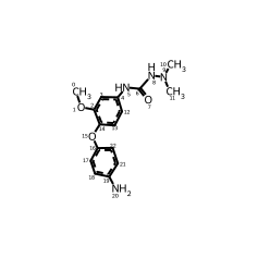 COc1cc(NC(=O)NN(C)C)ccc1Oc1ccc(N)cc1